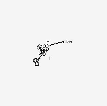 CCCCCCCCCCCCCCCCCCNC(=O)OCC1(CNS(=O)(=O)CCC[n+]2cccc3ccccc32)CCCO1.[I-]